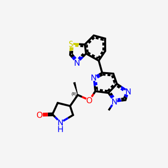 C[C@@H](Oc1nc(-c2cccc3scnc23)cc2ncn(C)c12)C1CNC(=O)C1